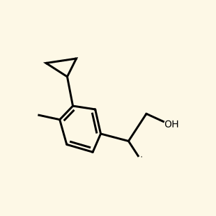 [CH2]C(CO)c1ccc(C)c(C2CC2)c1